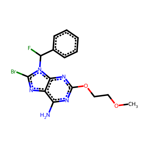 COCCOc1nc(N)c2nc(Br)n(C(F)c3ccccc3)c2n1